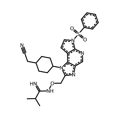 CC(C)C(=N)NOCc1nc2cnc3c(ccn3S(=O)(=O)c3ccccc3)c2n1C1CCC(CC#N)CC1